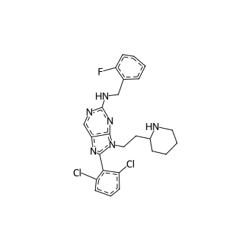 Fc1ccccc1CNc1ncc2nc(-c3c(Cl)cccc3Cl)n(CCC3CCCCN3)c2n1